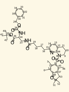 Cc1c(C)c(S(=O)(=O)N2CCCc3ccc(CCCCC(=O)NCC(NC(=O)OCc4ccccc4)C(=O)OC(C)(C)C)nc32)c(C)c2c1OC(C)(C)C2